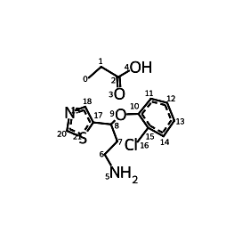 CCC(=O)O.NCCC(Oc1ccccc1Cl)c1cncs1